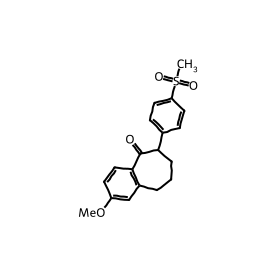 COc1ccc2c(c1)CCCC(c1ccc(S(C)(=O)=O)cc1)C2=O